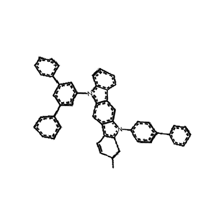 CC1C=Cc2c(n(-c3ccc(-c4ccccc4)cc3)c3cc4c5ccccc5n(-c5cc(-c6ccccc6)cc(-c6ccccc6)c5)c4cc23)C1